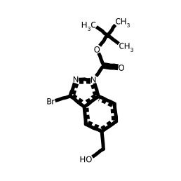 CC(C)(C)OC(=O)n1nc(Br)c2cc(CO)ccc21